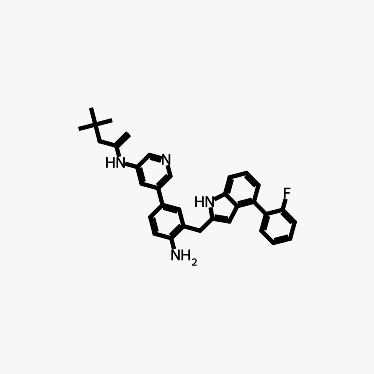 C=C(CC(C)(C)C)Nc1cncc(-c2ccc(N)c(Cc3cc4c(-c5ccccc5F)cccc4[nH]3)c2)c1